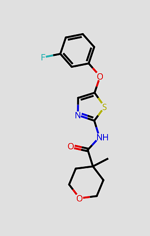 CC1(C(=O)Nc2ncc(Oc3cccc(F)c3)s2)CCOCC1